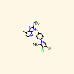 CCCCc1nc2c(C)ccnc2n1Cc1ccc(-n2cc(Br)c(Cl)c2C#N)cc1